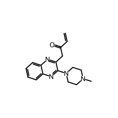 C=CC(=O)Cc1nc2ccccc2nc1N1CCN(C)CC1